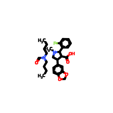 CCCCN(C=O)CCCC.CN1CC(c2ccc3c(c2)OCO3)C(C(=O)O)C1c1ccccc1F